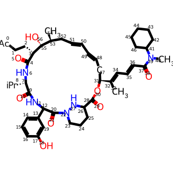 CC(=O)CC[C@H]1C(=O)N[C@@H](C(C)C)C(=O)NC(c2cccc(O)c2)C(=O)N2CCCC(N2)C(=O)O[C@H](/C(C)=C/C=C/C(=O)N(C)C2CCCCC2)C/C=C/C=C/C[C@H](C)[C@H]1O